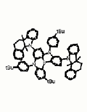 CC(C)(C)c1ccc(N2c3ccc(C(C)(C)C)cc3B3c4ccc(N5c6ccccc6C6(C)CCc7ccccc7C56C)cc4N(c4ccc(C(C)(C)C)cc4)c4cc(N5c6ccccc6C6(C)CCc7ccccc7C56C)cc2c43)cc1